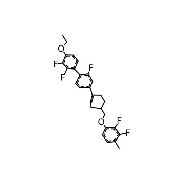 CCOc1ccc(-c2ccc(C3=CCC(COc4ccc(C)c(F)c4F)CC3)cc2F)c(F)c1F